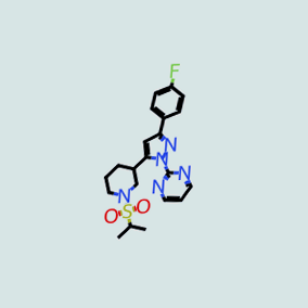 CC(C)S(=O)(=O)N1CCCC(c2cc(-c3ccc(F)cc3)nn2-c2ncccn2)C1